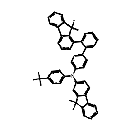 CC(C)(C)c1ccc(N(c2ccc(-c3ccccc3-c3cccc4c3C(C)(C)c3ccccc3-4)cc2)c2ccc3c(c2)C(C)(C)c2ccccc2-3)cc1